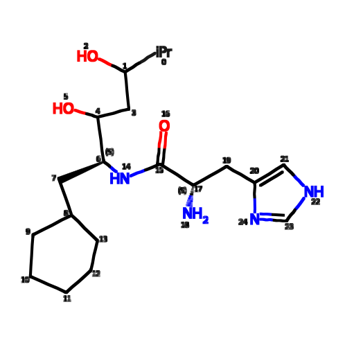 CC(C)C(O)CC(O)[C@H](CC1CCCCC1)NC(=O)[C@@H](N)Cc1c[nH]cn1